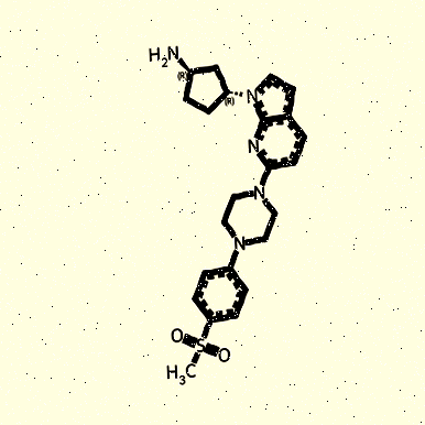 CS(=O)(=O)c1ccc(N2CCN(c3ccc4ccn([C@@H]5CC[C@@H](N)C5)c4n3)CC2)cc1